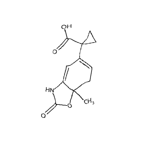 CC12CC=C(C3(C(=O)O)CC3)C=C1NC(=O)O2